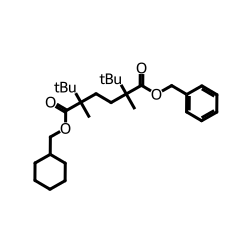 CC(C)(C)C(C)(CCC(C)(C(=O)OCC1CCCCC1)C(C)(C)C)C(=O)OCc1ccccc1